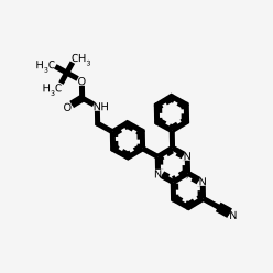 CC(C)(C)OC(=O)NCc1ccc(-c2nc3ccc(C#N)nc3nc2-c2ccccc2)cc1